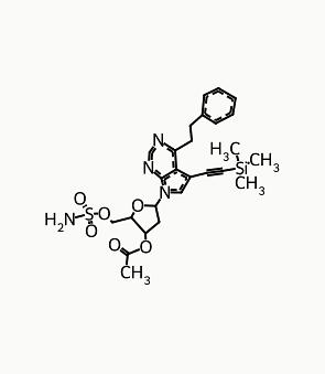 CC(=O)OC1CC(n2cc(C#C[Si](C)(C)C)c3c(CCc4ccccc4)ncnc32)OC1COS(N)(=O)=O